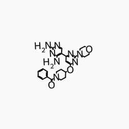 Nc1ncc(-c2cc(OC3CCN(C(=O)c4ccccc4)CC3)nc(N3CCOCC3)n2)c(N)n1